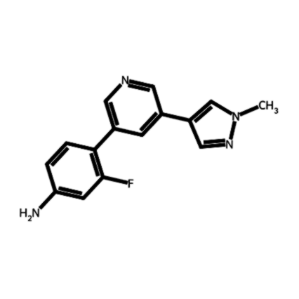 Cn1cc(-c2cncc(-c3ccc(N)cc3F)c2)cn1